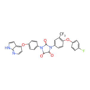 O=C1C(=O)N(c2ccc(Oc3ccc(F)cc3)c(C(F)(F)F)c2)C(=O)N1c1ccc(Oc2ccnc3[nH]ccc23)cc1